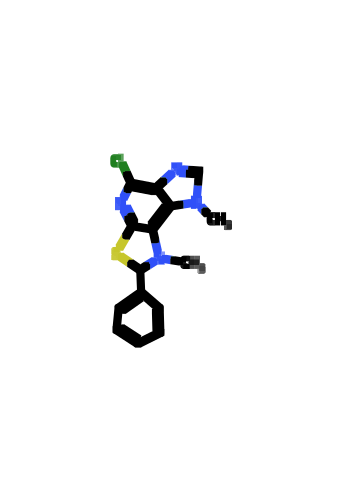 CN1c2c(nc(Cl)c3ncn(C)c23)SC1c1ccccc1